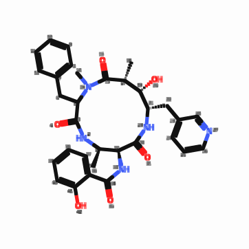 C[C@H]1NC(=O)C(Cc2ccccc2)N(C)C(=O)[C@H](C)[C@H](O)[C@H](Cc2cccnc2)NC(=O)[C@H]1NC(=O)c1ccccc1O